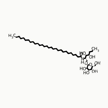 CCCCCCCCCCCCCCCCCCCCCCCCCCCCC(=O)N[C@@H](CO[C@H]1O[C@H](CO)[C@H](O)[C@H](O)[C@H]1O)[C@H](O)[C@H](O)CCC